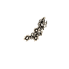 CCCCc1nc(Cl)c(C(=O)NC(=O)OCC)n1Cc1ccc2oc(-c3ccccc3C(=O)OCc3ccccc3)c(Br)c2c1